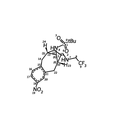 CC(C)(C)S(=O)(=O)N[C@@]1(CNCC(F)(F)F)[C@@H]2CC[C@H]1Cc1ccc([N+](=O)[O-])cc1C2